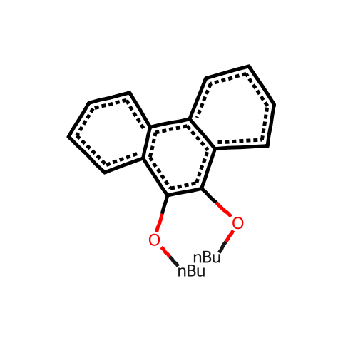 CCCCOc1c(OCCCC)c2ccccc2c2ccccc12